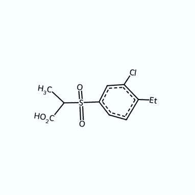 CCc1ccc(S(=O)(=O)C(C)C(=O)O)cc1Cl